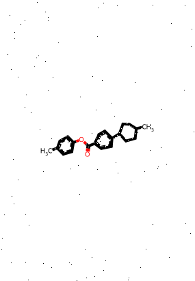 Cc1ccc(OC(=O)c2ccc(C3CCC(C)CC3)cc2)cc1